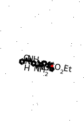 CCOC(=O)N(C)C(C)(C(=O)N1CCCC1)c1ccc2c(c1)nc(C(N)c1ccc(C(=N)NC(=O)c3ccccc3)cc1)n2C